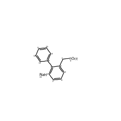 CCCCCCCCCc1ccccc1-c1ccccc1.[NaH]